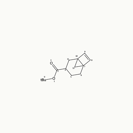 CC(C)(C)OC(=O)C1CCC23C=CC2(C1)C3